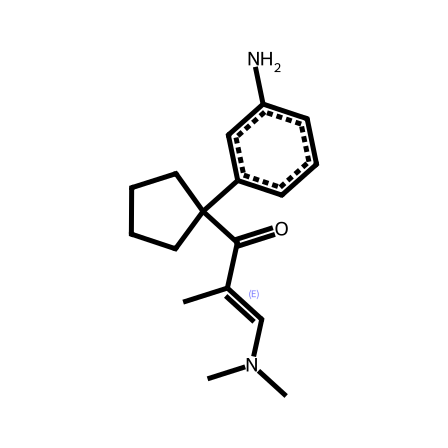 C/C(=C\N(C)C)C(=O)C1(c2cccc(N)c2)CCCC1